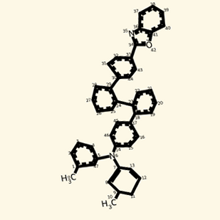 Cc1cccc(N(C2=CC(C)CC=C2)c2ccc(-c3ccccc3-c3ccccc3-c3ccc(-c4nc5ccccc5o4)cc3)cc2)c1